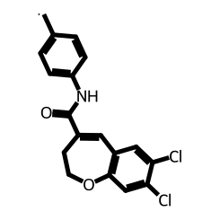 [CH2]c1ccc(NC(=O)C2=Cc3cc(Cl)c(Cl)cc3OCC2)cc1